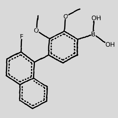 COc1c(B(O)O)ccc(-c2c(F)ccc3ccccc23)c1OC